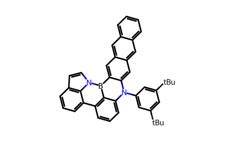 CC(C)(C)c1cc(N2c3cc4cc5ccccc5cc4cc3B3c4c(cccc42)-c2cccc4ccn3c24)cc(C(C)(C)C)c1